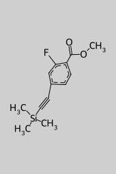 COC(=O)c1ccc(C#C[Si](C)(C)C)cc1F